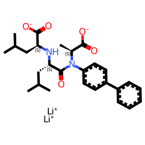 CC(C)C[C@H](N[C@@H](CC(C)C)C(=O)N(c1ccc(-c2ccccc2)cc1)[C@@H](C)C(=O)[O-])C(=O)[O-].[Li+].[Li+]